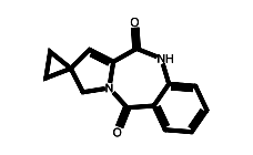 O=C1Nc2ccccc2C(=O)N2CC3(C=C12)CC3